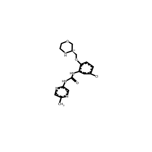 Cc1cnc(NC(=O)Nc2cc(Cl)ccc2OC[C@@H]2COCCN2)cn1